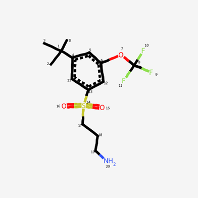 CC(C)(C)c1cc(OC(F)(F)F)cc(S(=O)(=O)CCCN)c1